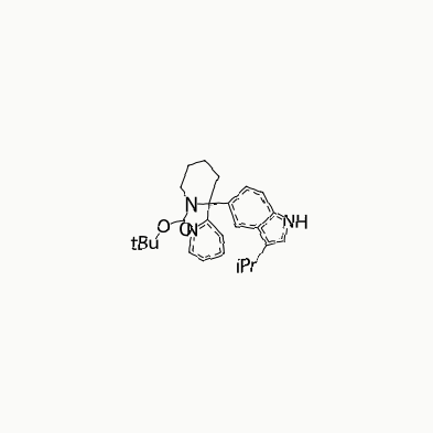 CC(C)c1c[nH]c2ccc(C3(c4ccccn4)CCCCN3C(=O)OC(C)(C)C)cc12